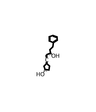 O[C@H]1CCC(=C=C[C@@H](O)CCc2ccccc2)C1